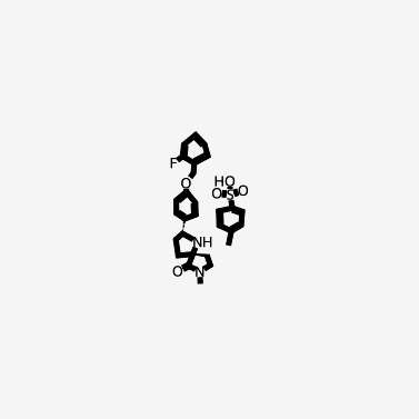 CN1CC[C@]2(CC[C@H](c3ccc(OCc4ccccc4F)cc3)N2)C1=O.Cc1ccc(S(=O)(=O)O)cc1